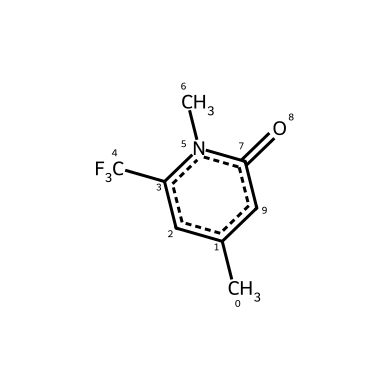 Cc1cc(C(F)(F)F)n(C)c(=O)c1